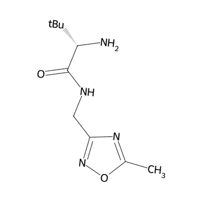 Cc1nc(CNC(=O)[C@@H](N)C(C)(C)C)no1